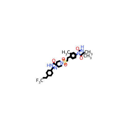 Cc1cc(N2C(=O)NC(C)(C)C2=O)ccc1CCS(=O)(=O)N1CCC2(CC1)N=C(C1CCC(CCC(F)(F)F)CC1)NC2=O